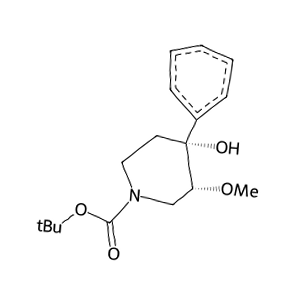 CO[C@@H]1CN(C(=O)OC(C)(C)C)CC[C@@]1(O)c1ccccc1